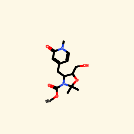 Cn1ccc(CC2C(CO)OC(C)(C)N2C(=O)OC(C)(C)C)cc1=O